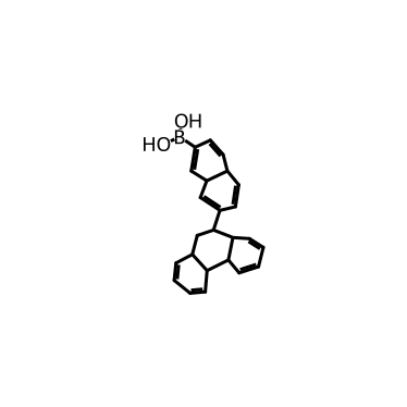 OB(O)C1=CC2C=C(C3CC4C=CC=CC4C4C=CC=CC34)C=CC2C=C1